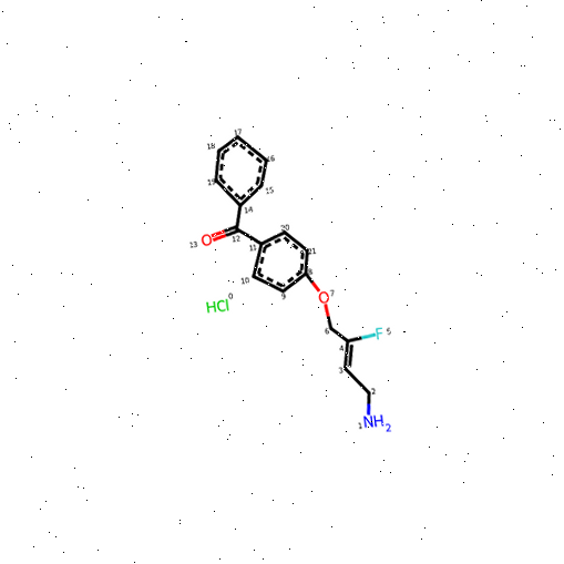 Cl.NC/C=C(\F)COc1ccc(C(=O)c2ccccc2)cc1